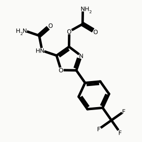 NC(=O)Nc1oc(-c2ccc(C(F)(F)F)cc2)nc1OC(N)=O